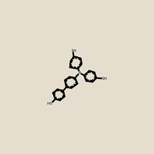 Sc1ccc(-c2ccc(N(c3ccc(S)cc3)c3ccc(S)cc3)cc2)cc1